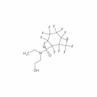 CCN(CCO)S(=O)(=O)C1(F)C(F)(F)C(F)(F)C(F)(F)C(F)(F)C1(F)C(F)(F)F